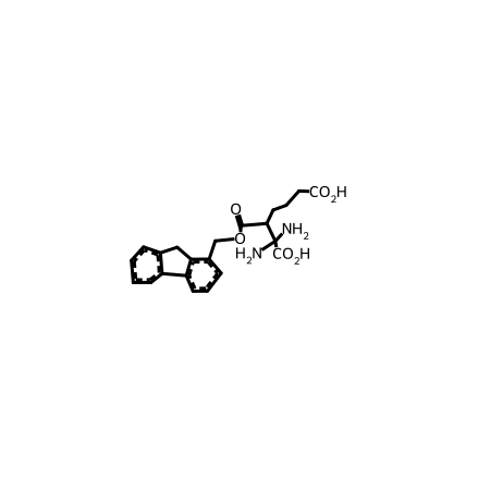 NC(N)(C(=O)O)C(CCCC(=O)O)C(=O)OCc1cccc2c1Cc1ccccc1-2